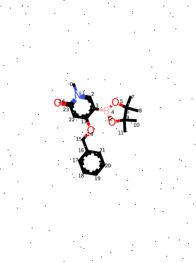 Cn1cc(B2OC(C)(C)C(C)(C)O2)c(OCc2ccccc2)cc1=O